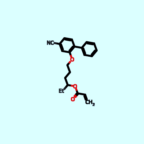 C=CC(=O)OC(CC)CCCOc1cc(C#N)ccc1-c1ccccc1